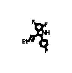 CCN1CC(c2c(-c3ccc(F)cc3)[nH]c3c(F)cc(F)cc23)C1